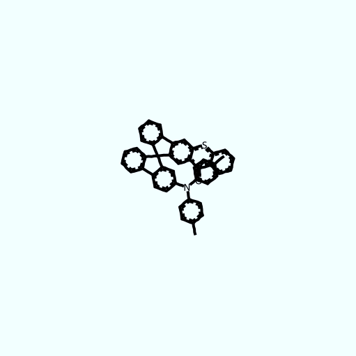 Cc1ccc(N(c2ccc(C)cc2)c2ccc3c(c2)C2(c4ccccc4-3)c3ccccc3-c3cc4sc5ccccc5c(=O)c4cc32)cc1